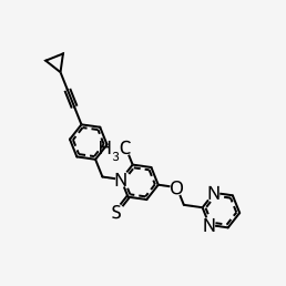 Cc1cc(OCc2ncccn2)cc(=S)n1Cc1ccc(C#CC2CC2)cc1